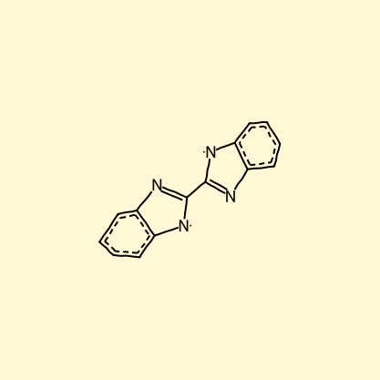 c1ccc2c(c1)[N]C(C1=Nc3ccccc3[N]1)=N2